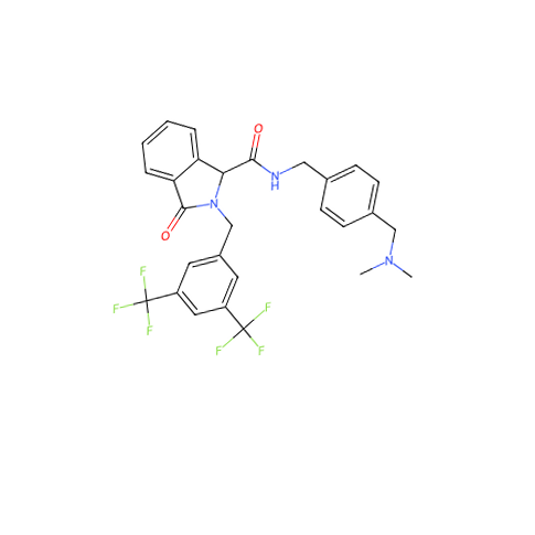 CN(C)Cc1ccc(CNC(=O)C2c3ccccc3C(=O)N2Cc2cc(C(F)(F)F)cc(C(F)(F)F)c2)cc1